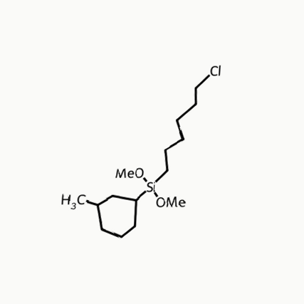 CO[Si](CCCCCCCl)(OC)C1CCCC(C)C1